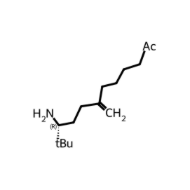 C=C(CCCCC(C)=O)CC[C@@H](N)C(C)(C)C